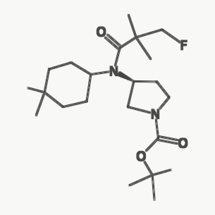 CC1(C)CCC(N(C(=O)C(C)(C)CF)[C@H]2CCN(C(=O)OC(C)(C)C)C2)CC1